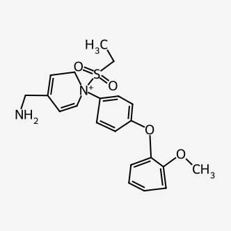 CCS(=O)(=O)[N+]1(c2ccc(Oc3ccccc3OC)cc2)C=CC(CN)=CC1